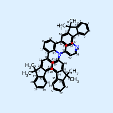 CC1(C)c2ccccc2-c2ccc(-c3cccc(-c4ccc5c(c4)C(C)(C)c4ccccc4-5)c3N(c3ccncc3)c3ccc4c(c3)C(C)(C)c3ccccc3-4)cc21